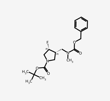 CN(C[C@@H]1CN(C(=O)OC(C)(C)C)C[C@@H]1F)C(=O)OCc1ccccc1